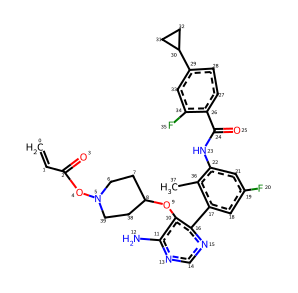 C=CC(=O)ON1CCC(Oc2c(N)ncnc2-c2cc(F)cc(NC(=O)c3ccc(C4CC4)cc3F)c2C)CC1